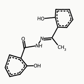 C/C(=N\NC(=O)c1ccccc1O)c1ccccc1O